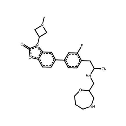 CN1CC(n2c(=O)oc3ccc(-c4ccc(C[C@@H](C#N)NCC5CNCCCO5)c(F)c4)cc32)C1